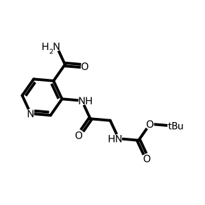 CC(C)(C)OC(=O)NCC(=O)Nc1cnccc1C(N)=O